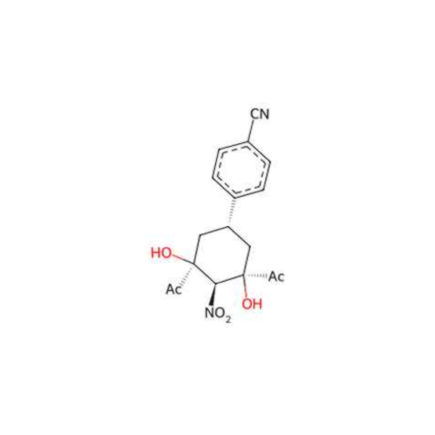 CC(=O)[C@]1(O)C[C@H](c2ccc(C#N)cc2)C[C@](O)(C(C)=O)[C@H]1[N+](=O)[O-]